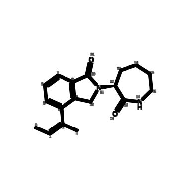 C/C=C(/C)c1cccc2c1CN([C@H]1CCCCNC1=O)C2=O